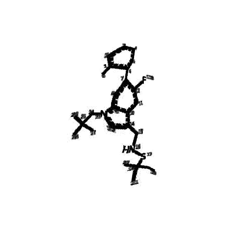 Cc1ccccc1-c1cc2c(cc1F)c(CNSC(C)(C)C)cn2CC(C)(C)C